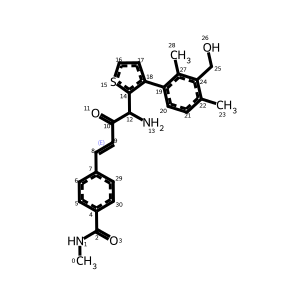 CNC(=O)c1ccc(/C=C/C(=O)C(N)c2sccc2-c2ccc(C)c(CO)c2C)cc1